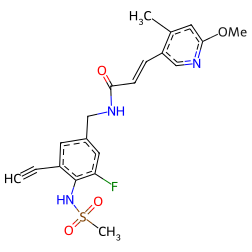 C#Cc1cc(CNC(=O)/C=C/c2cnc(OC)cc2C)cc(F)c1NS(C)(=O)=O